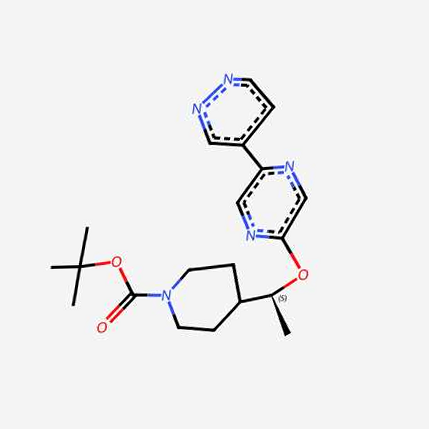 C[C@H](Oc1cnc(-c2ccnnc2)cn1)C1CCN(C(=O)OC(C)(C)C)CC1